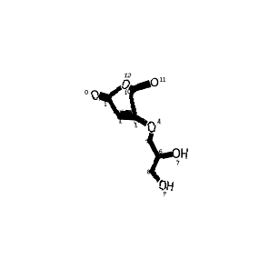 O=C1C=C(OCC(O)CO)C(=O)O1